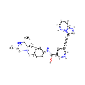 C[C@@H]1CN(Cc2ccc(NC(=O)c3cncc(C#Cc4cnc5cccnn45)c3)cc2C(F)(F)F)C[C@H](C)N1